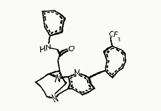 O=C(Nc1ccccc1)N1c2nc(-c3cccc(C(F)(F)F)c3)ccc2N2CCC1CC2